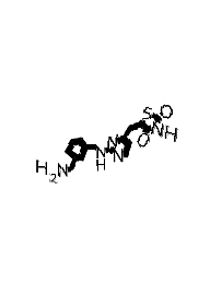 NCc1cccc(CNc2nccc(/C=C3/SC(=O)NC3=O)n2)c1